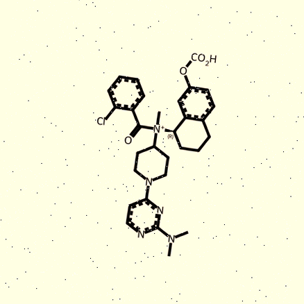 CN(C)c1nccc(N2CCC([N+](C)(C(=O)c3ccccc3Cl)[C@@H]3CCCc4ccc(OC(=O)O)cc43)CC2)n1